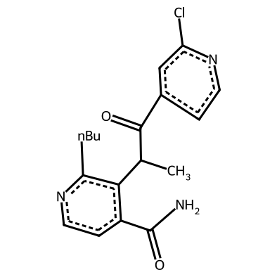 CCCCc1nccc(C(N)=O)c1C(C)C(=O)c1ccnc(Cl)c1